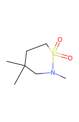 CN1CC(C)(C)CCS1(=O)=O